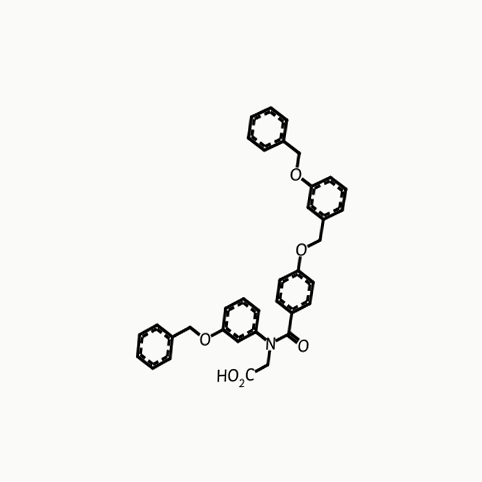 O=C(O)CN(C(=O)c1ccc(OCc2cccc(OCc3ccccc3)c2)cc1)c1cccc(OCc2ccccc2)c1